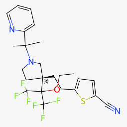 CCOC(C(F)(F)F)(C(F)(F)F)[C@]1(CCc2ccc(C#N)s2)CCN(C(C)(C)c2ccccn2)C1